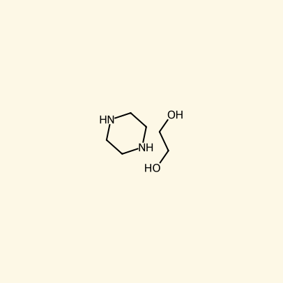 C1CNCCN1.OCCO